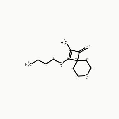 CCCCOC1=C(C)C(=O)C12CCOCC2